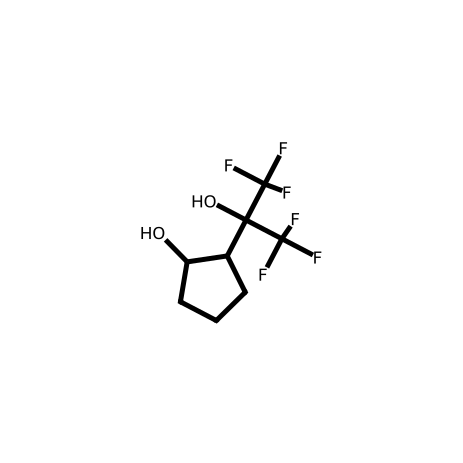 OC1CCCC1C(O)(C(F)(F)F)C(F)(F)F